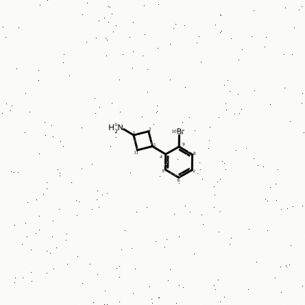 NC1CC(c2ccccc2Br)C1